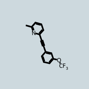 Cc1cccc(C#Cc2cccc(OC(F)(F)F)c2)n1